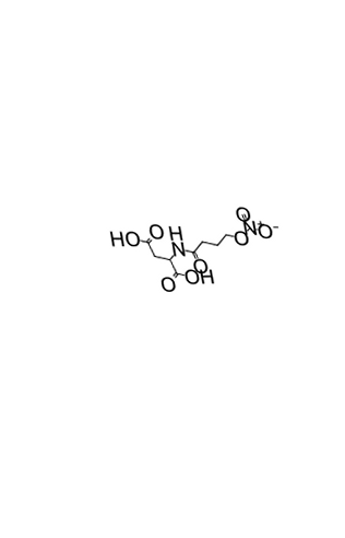 O=C(O)CC(NC(=O)CCCO[N+](=O)[O-])C(=O)O